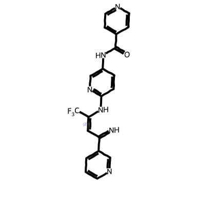 N=C(/C=C(\Nc1ccc(NC(=O)c2ccncc2)cn1)C(F)(F)F)c1cccnc1